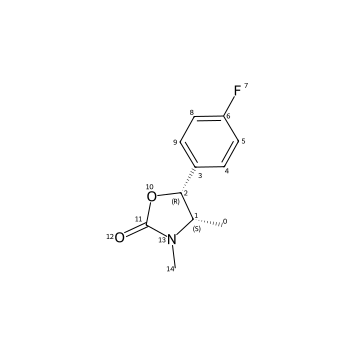 C[C@H]1[C@@H](c2ccc(F)cc2)OC(=O)N1C